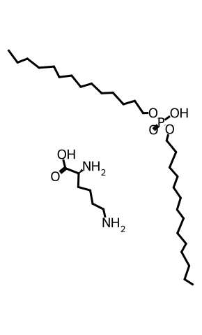 CCCCCCCCCCCCCCOP(=O)(O)OCCCCCCCCCCCCCC.NCCCC[C@H](N)C(=O)O